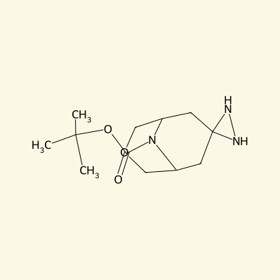 CC(C)(C)OC(=O)N1C2COCC1CC1(C2)NN1